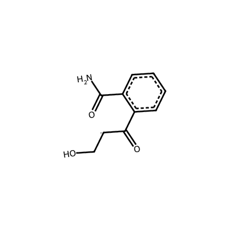 NC(=O)c1ccccc1C(=O)[CH]CO